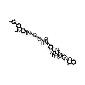 CCn1c2ccc(CNCCOCCOCCC(=O)NCc3ccc(-c4c5ncn(CC6(O)CCN(C(=O)C[C@@H](C)c7ccccc7)CC6)c(=O)c5nn4C)cc3)cc2c2ccc(-c3cc(C)cs3)cc21